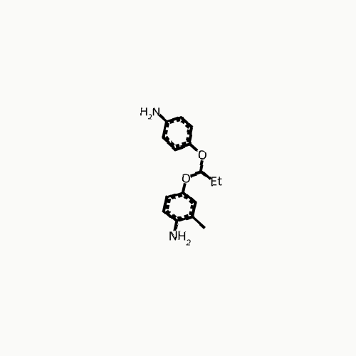 CCC(Oc1ccc(N)cc1)Oc1ccc(N)c(C)c1